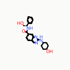 O=C(N[C@@H](CO)c1ccccc1)c1ccc2cnc(NC3CCC(O)CC3)nc2c1